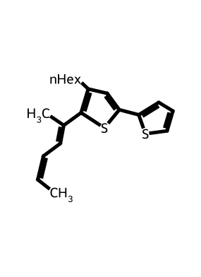 C/C=C\C=C(/C)c1sc(-c2cccs2)cc1CCCCCC